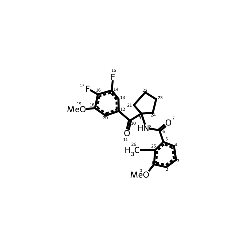 COc1cccc(C(=O)NC2(C(=O)c3cc(F)c(F)c(OC)c3)CCCC2)c1C